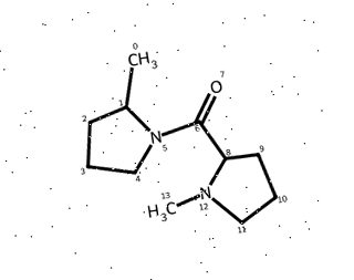 CC1CCCN1C(=O)C1CCCN1C